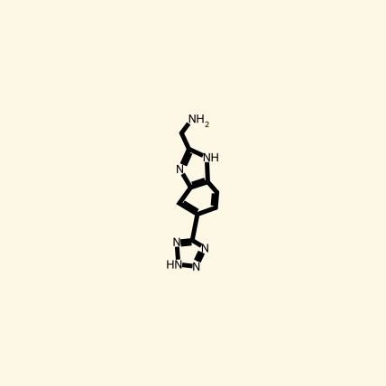 NCc1nc2cc(-c3nn[nH]n3)ccc2[nH]1